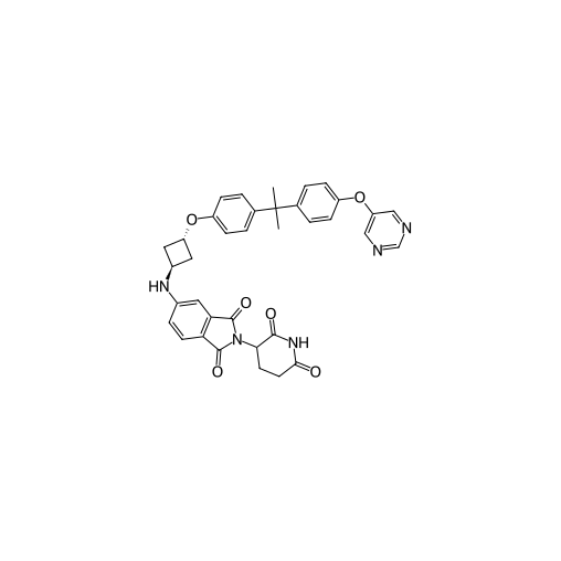 CC(C)(c1ccc(Oc2cncnc2)cc1)c1ccc(O[C@H]2C[C@H](Nc3ccc4c(c3)C(=O)N(C3CCC(=O)NC3=O)C4=O)C2)cc1